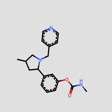 CNC(=O)Oc1cccc(C2CC(C)CN2Cc2ccncc2)c1